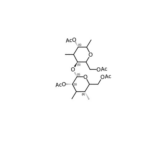 CC(=O)OCC1O[C@@H](O[C@@H]2C(COC(C)=O)OC(C)[C@@H](OC(C)=O)C2C)[C@@H](OC(C)=O)C(C)[C@H]1C